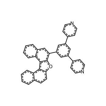 c1ccc2c(c1)ccc1oc3c(-c4cc(-c5ccncc5)cc(-c5ccncc5)c4)cc4ccccc4c3c12